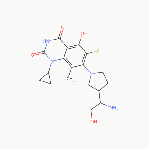 Cc1c(N2CCC(C(N)CO)C2)c(F)c(O)c2c(=O)[nH]c(=O)n(C3CC3)c12